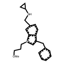 COCCCn1cc(Cc2ccccc2)c2ccc(CNC3CC3)cc21